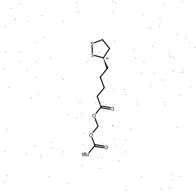 CC(C)(C)C(=O)OCOC(=O)CCCC[C@@H]1CCSS1